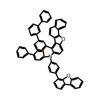 c1ccc(-c2ccc(N(c3ccc(-c4cccc5c4oc4ccccc45)cc3)c3ccc4oc5c6ccccc6ccc5c4c3-c3cccc(-c4cccc(-c5ccccc5)c4)c3)cc2)cc1